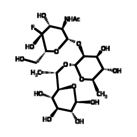 CC(=O)N[C@H]1[C@H](O[C@@H]2[C@@H](O[C@@H](C)[C@H]3O[C@@H](O)[C@H](O)[C@@H](O)[C@@H]3O)O[C@H](C)[C@@H](O)[C@@H]2O)O[C@H](CO)[C@](O)(F)[C@@H]1O